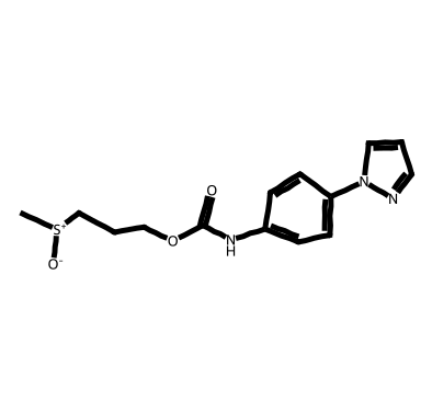 C[S+]([O-])CCCOC(=O)Nc1ccc(-n2cccn2)cc1